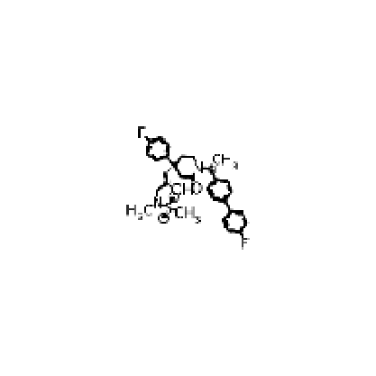 C[C@@H](c1ccc(-c2ccc(F)cc2)cc1)N1CC[C@](C[C@@H](O)CN(C)S(C)(=O)=O)(c2ccc(F)cc2)CC1=O